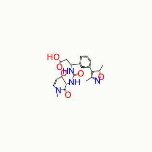 Cc1noc(C)c1-c1cccc(C(CC(=O)O)NC(=O)NC2C(=O)C=CN(C)C2=O)c1